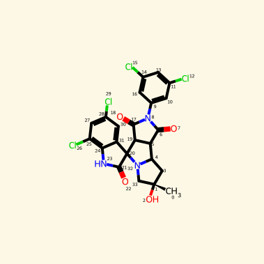 C[C@]1(O)CC2C3C(=O)N(c4cc(Cl)cc(Cl)c4)C(=O)C3C3(C(=O)Nc4c(Cl)cc(Cl)cc43)N2C1